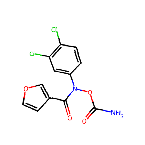 NC(=O)ON(C(=O)c1ccoc1)c1ccc(Cl)c(Cl)c1